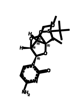 CC[C@]12O[C@@H](n3ccc(N)nc3=O)[C@H](O[C@H]1COC)[C@@H]2O[Si](C)(C)C(C)(C)C